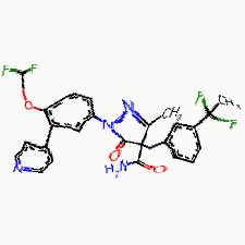 CC1=NN(c2ccc(OC(F)F)c(-c3ccncc3)c2)C(=O)C1(C(N)=O)c1cccc(C(C)(F)F)c1